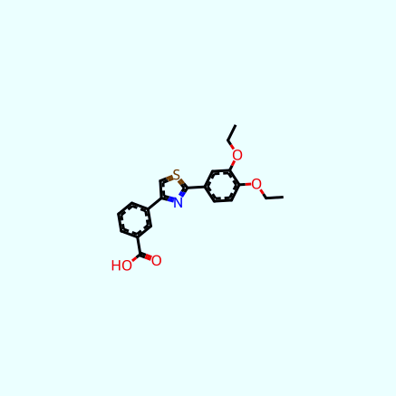 CCOc1ccc(-c2nc(-c3cccc(C(=O)O)c3)cs2)cc1OCC